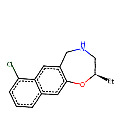 CC[C@@H]1CNCc2cc3c(Cl)cccc3cc2O1